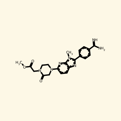 COC(=O)CN1CCN(c2ccc3nc(-c4ccc(C(=N)N)cc4)n(C)c3n2)CC1=O